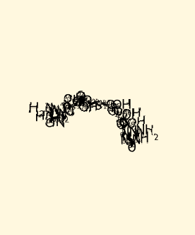 Nc1nc2c(ncn2[C@@H]2O[C@H](COP(=O)(O)OCCSCCOP(=O)(O)OC[C@H]3O[C@@H](n4cnc5c(=O)[nH]c(N)nc54)C[C@@H]3O)[C@@H](O)[C@H]2O)c(=O)[nH]1